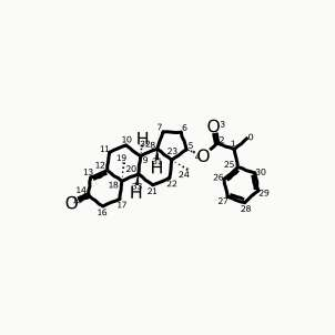 CC(C(=O)O[C@H]1CC[C@H]2[C@@H]3CCC4=CC(=O)CC[C@]4(C)[C@H]3CC[C@]12C)c1ccccc1